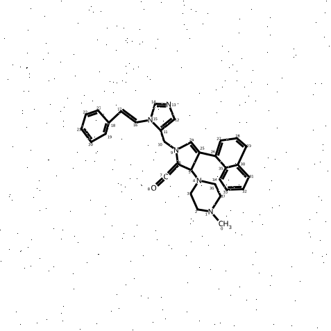 CN1CCN(C2C(=C=O)N(Cc3cncn3C=Cc3ccccc3)C=C2c2cccc3ccccc23)CC1